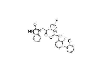 O=C(Cn1c(=O)[nH]c2ccccc21)C1C[C@H](F)C[C@H]1C(=O)Nc1cccc(-c2ccccc2Cl)c1F